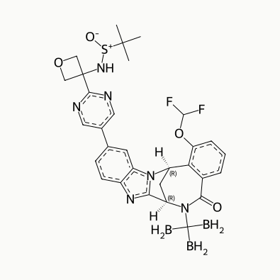 BC(B)(B)N1C(=O)c2cccc(OC(F)F)c2[C@H]2C[C@@H]1c1nc3ccc(-c4cnc(C5(N[S+]([O-])C(C)(C)C)COC5)nc4)cc3n12